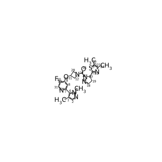 Cc1cnn(C)c1-c1cc(OC2CN(C(=O)N3N=CCC3c3nc(C)c(C)s3)C2)c(F)cn1